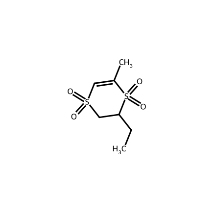 CCC1CS(=O)(=O)C=C(C)S1(=O)=O